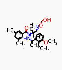 C=C(NN(C(=O)c1cc(C)cc(C)c1)C(C)(C)C=NOCO)c1cccc(OC)c1CC